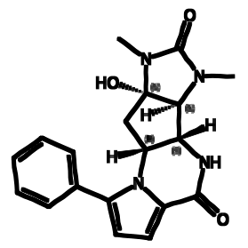 CN1C(=O)N(C)[C@]2(O)C[C@@H]3[C@@H](NC(=O)c4ccc(-c5ccccc5)n43)[C@H]12